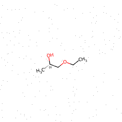 CCOC[C@H](C)O